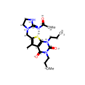 COCCn1c(=O)c2c(C)c(CN3CCNC3=NC(=O)OC)sc2n(CCC(F)(F)F)c1=O